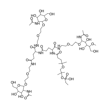 CCP(=O)(O)OC(C)(C)COC(C)(C)CCC(=O)NC(CCC(=O)NC(CCC(=O)NCCOCCOC1OC(CO)C(O)C(O)C1NC(C)=O)C(=O)NCCOCCOC1OC(CO)C(O)C(O)C1NC(C)=O)C(=O)NCCOCCOC(NC(C)=O)C(O)C(O)C(CO)OC